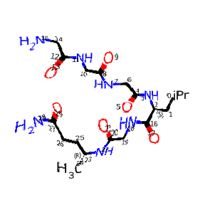 CC(C)C[C@H](NC(=O)CNC(=O)CNC(=O)CN)C(=O)NCC(=O)N[C@H](C)CCC(N)=O